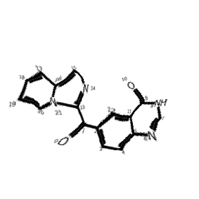 O=C(c1ccc2nc[nH]c(=O)c2c1)c1ncc2ccccn12